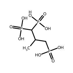 CC(CP(=O)(O)O)C(P(=O)(O)O)P(=O)(O)O